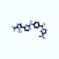 CCn1c(-c2ccnc(Nc3ccc(C(=O)N4CCC(N(C)C)C4)cc3)n2)cnc1C(F)F